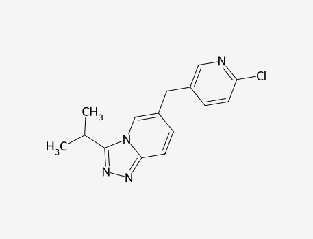 CC(C)c1nnc2ccc(Cc3ccc(Cl)nc3)cn12